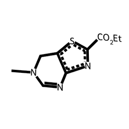 CCOC(=O)c1nc2c(s1)CN(C)C=N2